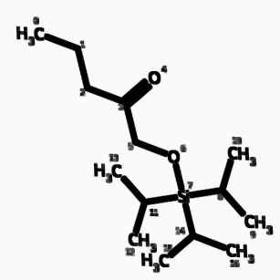 CCCC(=O)CO[Si](C(C)C)(C(C)C)C(C)C